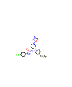 COc1ccc(C2CN(c3nnco3)CCC2NC(=O)Nc2ccc(Cl)cc2)nc1